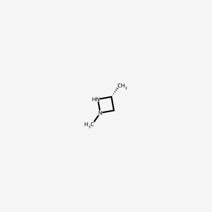 C[C@@H]1CN(C)N1